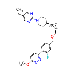 CCc1cnc(N2CCC([C@H]3C[C@H]3COCc3ccc(-c4ccc(OC)nn4)c(F)c3)CC2)nc1